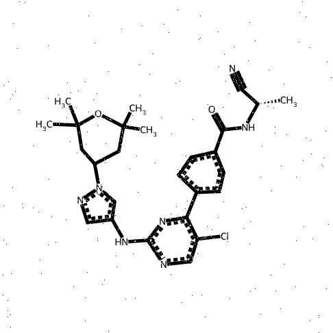 C[C@@H](C#N)NC(=O)c1ccc(-c2nc(Nc3cnn(C4CC(C)(C)OC(C)(C)C4)c3)ncc2Cl)cc1